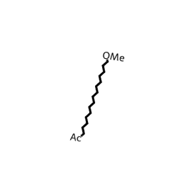 COCCCCCCCCCCCCCCCC(C)=O